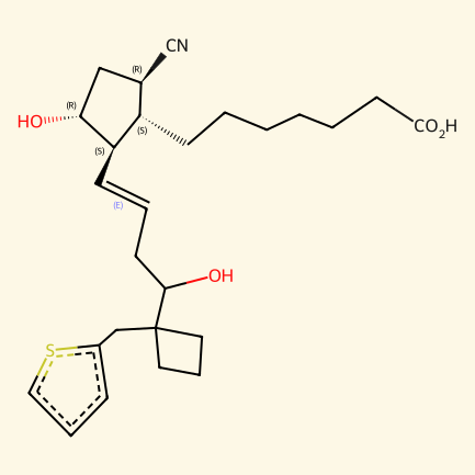 N#C[C@@H]1C[C@@H](O)[C@H](/C=C/CC(O)C2(Cc3cccs3)CCC2)[C@H]1CCCCCCC(=O)O